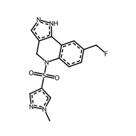 Cn1cc(S(=O)(=O)N2Cc3cn[nH]c3-c3cc(CF)ccc32)cn1